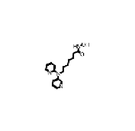 O=C(CCCCCCN(c1cccnc1)c1ccccn1)NO